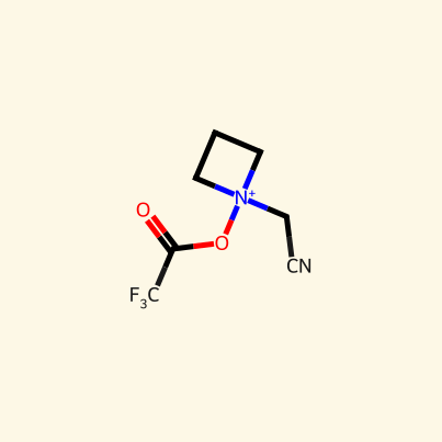 N#CC[N+]1(OC(=O)C(F)(F)F)CCC1